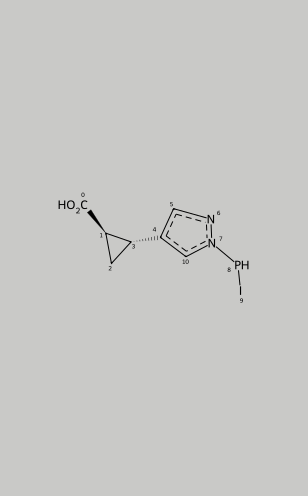 O=C(O)[C@@H]1C[C@H]1c1cnn(PI)c1